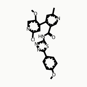 COc1ccc(-c2nnc(NC(=O)c3cnc(C)cc3-c3cc(Cl)ncc3OC)s2)cc1